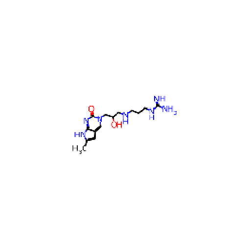 Cc1cc2cn(CC(O)CNCCCNC(=N)N)c(=O)nc2[nH]1